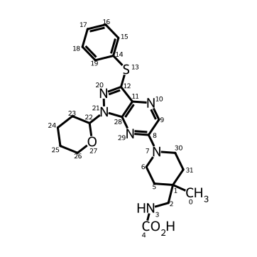 CC1(CNC(=O)O)CCN(c2cnc3c(Sc4ccccc4)nn(C4CCCCO4)c3n2)CC1